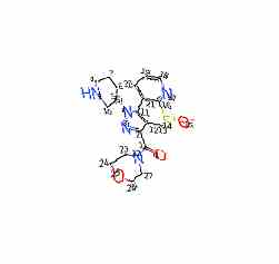 O=C(c1nn([C@H]2CCCNC2)c2c1C[S+]([O-])c1ncccc1-2)N1CCOCC1